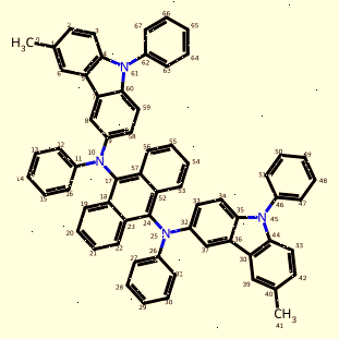 Cc1ccc2c(c1)c1cc(N(c3ccccc3)c3c4ccccc4c(N(c4ccccc4)c4ccc5c(c4)c4cc(C)ccc4n5-c4ccccc4)c4ccccc34)ccc1n2-c1ccccc1